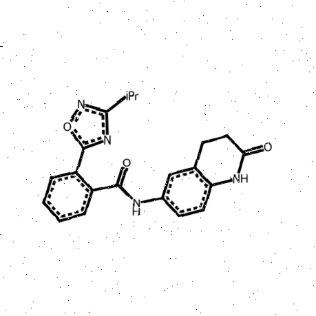 CC(C)c1noc(-c2ccccc2C(=O)Nc2ccc3c(c2)CCC(=O)N3)n1